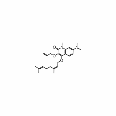 C=CCOc1c(OCC=C(C)CCC=C(C)C)c2ccc(N(C)C)cc2[nH]c1=O